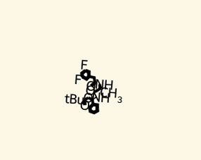 C[C@H](NC(=O)Cc1cc(F)cc(F)c1)C(=O)N[C@H](OC(=O)C(C)(C)C)c1ccccc1